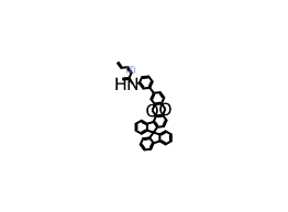 C=C/C=C\C(=C)Nc1cccc(-c2ccc3c(c2)Oc2c(ccc4c2-c2ccccc2C42c4ccccc4-c4ccccc42)O3)c1